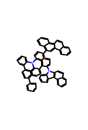 c1ccc(-c2ccc(-c3ccccc3N(c3ccc(-c4cc5c6ccccc6ccc5c5ccccc45)cc3)c3ccccc3-c3ccccc3-n3c4ccccc4c4c5ccccc5ccc43)cc2)cc1